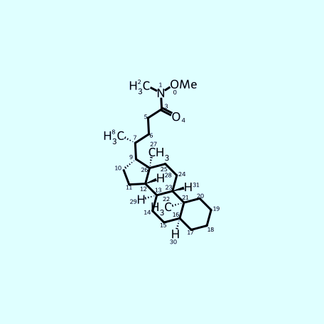 CON(C)C(=O)CC[C@@H](C)[C@H]1CC[C@H]2[C@@H]3CC[C@@H]4CCCC[C@]4(C)[C@H]3CC[C@]12C